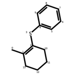 CC1=C(Sc2ccccc2)CCCC1